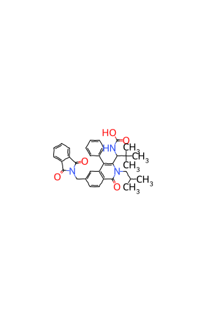 CC(C)Cn1c(C(NC(=O)O)C(C)(C)C)c(-c2ccccc2)c2cc(CN3C(=O)c4ccccc4C3=O)ccc2c1=O